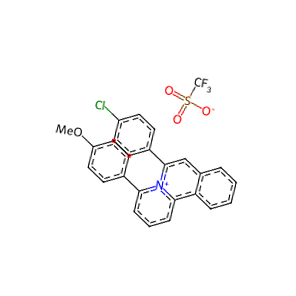 COc1ccc(-c2cccc3c4ccccc4cc(-c4ccc(Cl)cc4)[n+]23)cc1.O=S(=O)([O-])C(F)(F)F